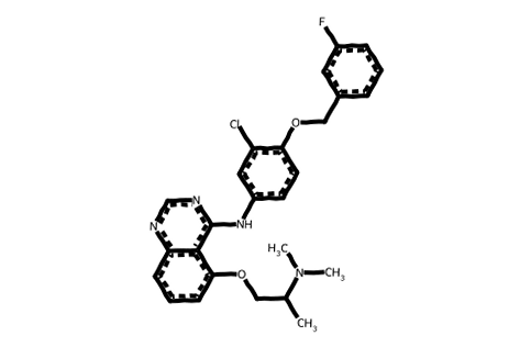 CC(COc1cccc2ncnc(Nc3ccc(OCc4cccc(F)c4)c(Cl)c3)c12)N(C)C